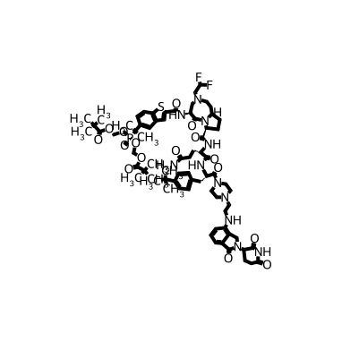 CC(C)(C)C(=O)OCOP(=O)(OCOC(=O)C(C)(C)C)C(C)(C)c1ccc2sc(C(=O)N[C@H]3CN(CC(F)F)CC[C@H]4CC[C@@H](C(=O)N[C@@H](CCC(N)=O)C(=O)N[C@@H](Cc5ccc(C(C)(C)C)cc5)C(=O)N5CCN(CCNc6cccc7c6CN(C6CCC(=O)NC6=O)C7=O)CC5)N4C3=O)cc2c1